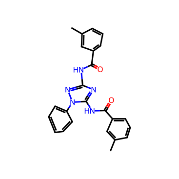 Cc1cccc(C(=O)Nc2nc(NC(=O)c3cccc(C)c3)n(-c3ccccc3)n2)c1